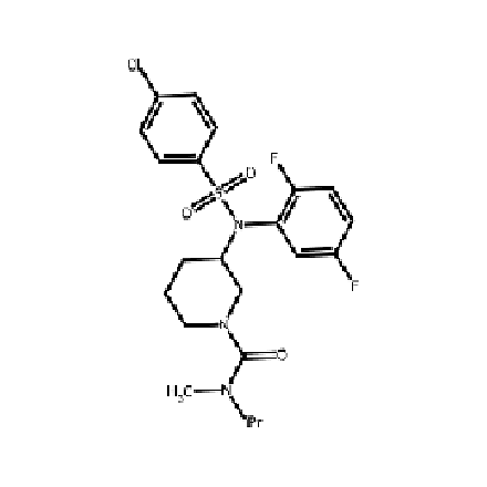 CC(C)N(C)C(=O)N1CCCC(N(c2cc(F)ccc2F)S(=O)(=O)c2ccc(Cl)cc2)C1